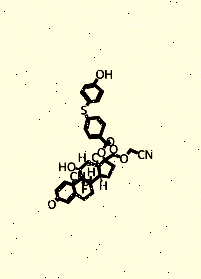 C[C@]12C=CC(=O)C=C1CC[C@H]1[C@@H]3CC[C@@](OC(=O)c4ccc(Sc5ccc(O)cc5)cc4)(C(=O)OCC#N)[C@@]3(C)C[C@H](O)C12F